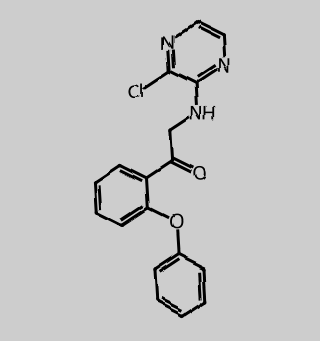 O=C(CNc1nccnc1Cl)c1ccccc1Oc1ccccc1